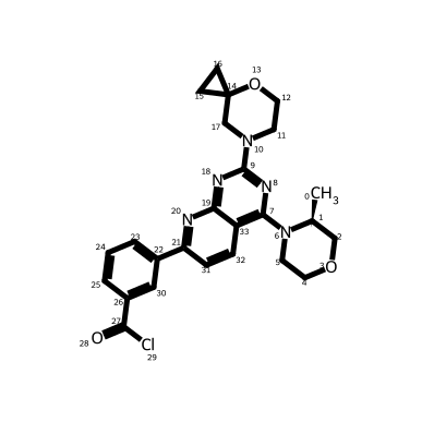 C[C@H]1COCCN1c1nc(N2CCOC3(CC3)C2)nc2nc(-c3cccc(C(=O)Cl)c3)ccc12